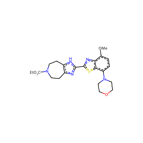 CCOC(=O)N1CCc2nc(-c3nc4c(OC)ccc(N5CCOCC5)c4s3)[nH]c2CC1